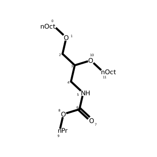 CCCCCCCCOCC(CNC(=O)OCCC)OCCCCCCCC